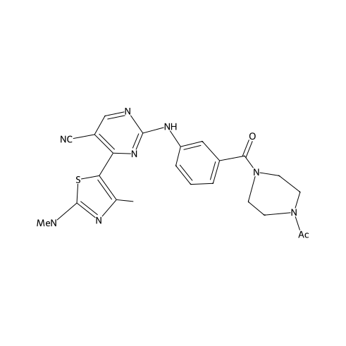 CNc1nc(C)c(-c2nc(Nc3cccc(C(=O)N4CCN(C(C)=O)CC4)c3)ncc2C#N)s1